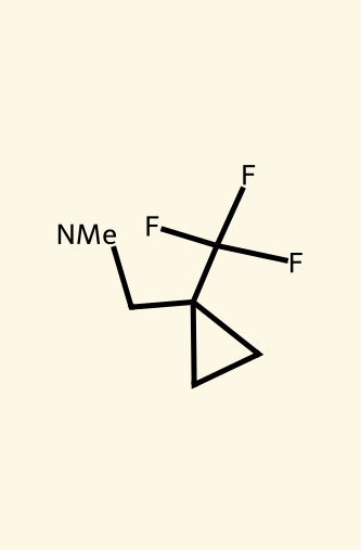 CNCC1(C(F)(F)F)CC1